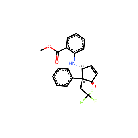 COC(=O)c1ccccc1N[C@@H]1C=CC(=O)[C@]1(CC(F)(F)F)c1ccccc1